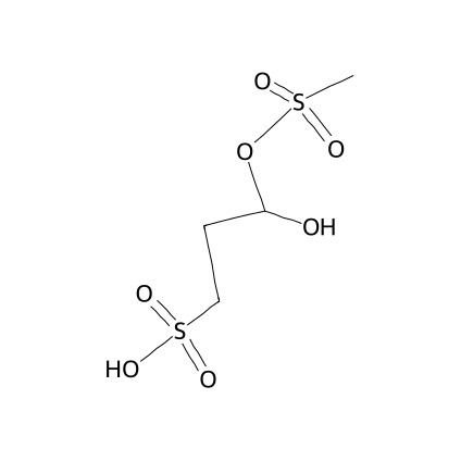 CS(=O)(=O)OC(O)CCS(=O)(=O)O